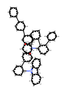 c1ccc(-c2ccc(-c3ccc(N(c4ccc(-c5ccccc5-n5c6ccccc6c6ccccc65)cc4)c4cccc(-c5ccccc5)c4-c4ccccc4-c4ccccc4)cc3)cc2)cc1